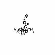 Cc1cccc(-c2[nH]c(C(C)C)nc2-c2ccc(F)c(-c3ccc(OCCn4cccc4)cc3)c2)n1